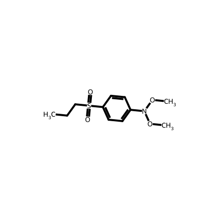 CCCS(=O)(=O)c1ccc(N(OC)OC)cc1